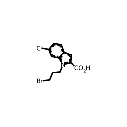 O=C(O)c1cc2ccc(Cl)cc2n1CCCBr